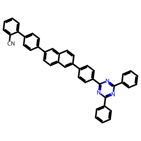 N#Cc1ccccc1-c1ccc(-c2ccc3cc(-c4ccc(-c5nc(-c6ccccc6)nc(-c6ccccc6)n5)cc4)ccc3c2)cc1